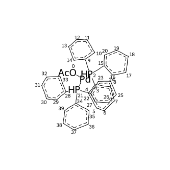 CC(=O)[O][Pd]([PH](c1ccccc1)(c1ccccc1)c1ccccc1)[PH](c1ccccc1)(c1ccccc1)c1ccccc1